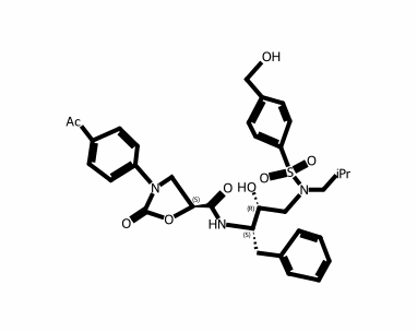 CC(=O)c1ccc(N2C[C@@H](C(=O)N[C@@H](Cc3ccccc3)[C@H](O)CN(CC(C)C)S(=O)(=O)c3ccc(CO)cc3)OC2=O)cc1